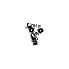 C[C@](O)(c1ccc(N2CCN(S(=O)(=O)c3cccs3)C[C@@H]2CSc2cccc(F)c2)cc1)C(F)(F)F